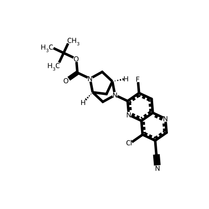 CC(C)(C)OC(=O)N1C[C@@H]2C[C@H]1CN2c1nc2c(Cl)c(C#N)cnc2cc1F